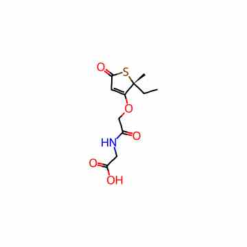 CC[C@@]1(C)SC(=O)C=C1OCC(=O)NCC(=O)O